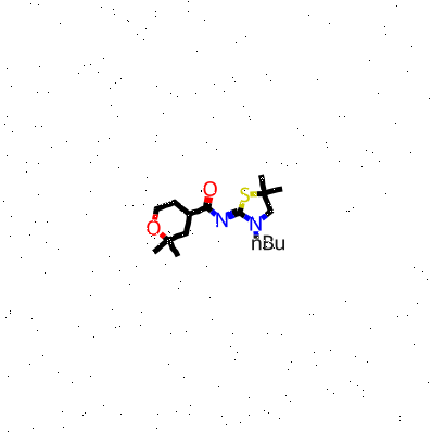 CCCCN1CC(C)(C)S/C1=N\C(=O)C1CCOC(C)(C)C1